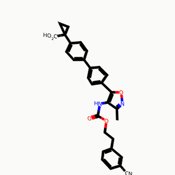 Cc1noc(-c2ccc(-c3ccc(C4(C(=O)O)CC4)cc3)cc2)c1NC(=O)OCCc1cccc(C#N)c1